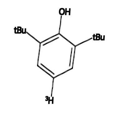 [3H]c1cc(C(C)(C)C)c(O)c(C(C)(C)C)c1